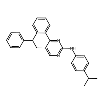 CC(C)c1ccc(Nc2ncc3c(n2)-c2ccccc2C(c2ccccc2)C3)cc1